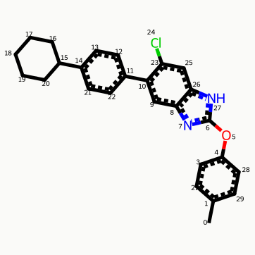 Cc1[c]cc(Oc2nc3cc(-c4ccc(C5CCCCC5)cc4)c(Cl)cc3[nH]2)cc1